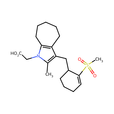 Cc1c(CC2CCCC=C2S(C)(=O)=O)c2c(n1CC(=O)O)CCCCC2